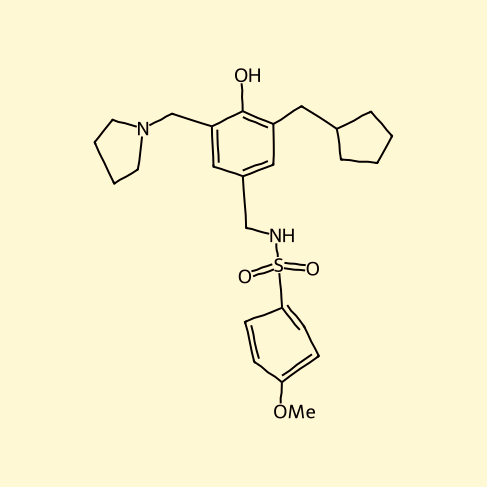 COc1ccc(S(=O)(=O)NCc2cc(CC3CCCC3)c(O)c(CN3CCCC3)c2)cc1